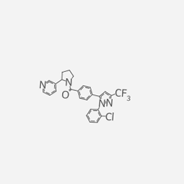 O=C(c1ccc(-c2cc(C(F)(F)F)nn2-c2ccccc2Cl)cc1)N1CCCC1c1cccnc1